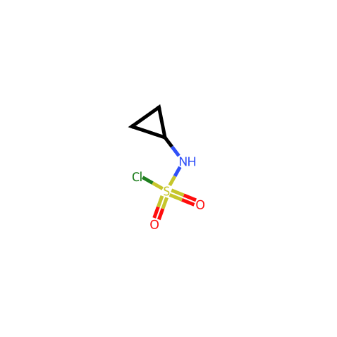 O=S(=O)(Cl)NC1CC1